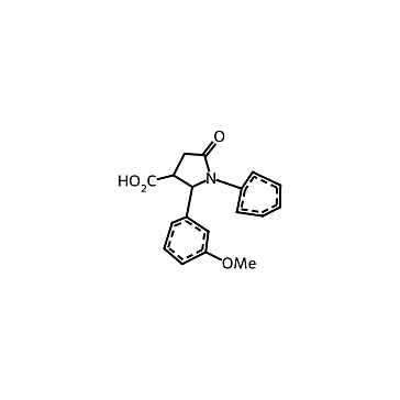 COc1cccc(C2C(C(=O)O)CC(=O)N2c2ccccc2)c1